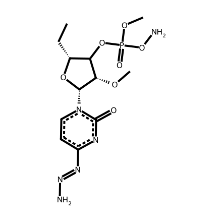 CC[C@H]1O[C@@H](n2ccc(N=NN)nc2=O)[C@@H](OC)C1OP(=O)(OC)ON